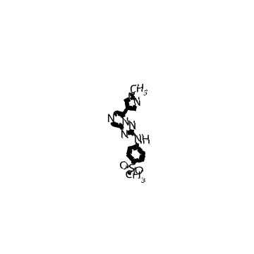 Cn1cc(-c2cncc3nc(Nc4ccc(S(C)(=O)=O)cc4)nn23)cn1